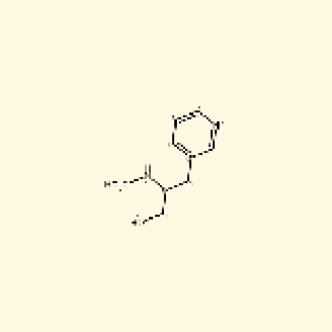 O=C(O)NC(CO)Cc1cccnc1